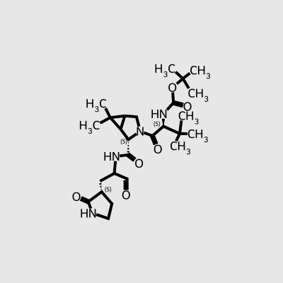 CC(C)(C)OC(=O)N[C@H](C(=O)N1CC2C([C@H]1C(=O)NC(C=O)C[C@@H]1CCNC1=O)C2(C)C)C(C)(C)C